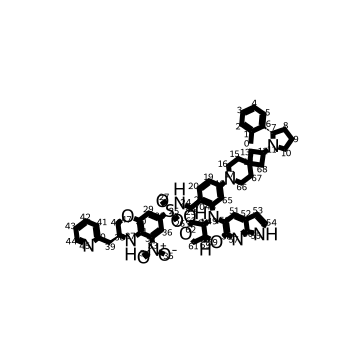 Cc1ccccc1[C@@H]1CCCN1C1CC2(CCN(c3ccc(C(=O)NS(=O)(=O)c4cc5c(c([N+](=O)[O-])c4)N[C@@H](Cc4ccccn4)CO5)c(N4c5cc6cc[nH]c6nc5O[C@@H]5COC[C@H]54)c3)CC2)C1